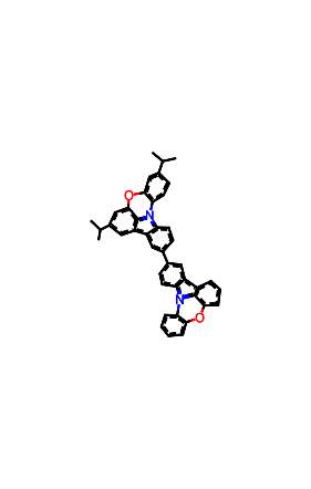 CC(C)c1ccc2c(c1)Oc1cc(C(C)C)cc3c4cc(-c5ccc6c(c5)c5cccc7c5n6-c5ccccc5O7)ccc4n-2c13